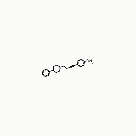 Nc1ccc(C#CCCN2CC=C(c3ccccc3)CC2)cc1